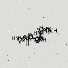 CN1CCN(c2cccc3[nH]c(-c4n[nH]c5ncc(-c6cncc(NC(=O)CC7CCNCC7)c6)cc45)cc23)CC1